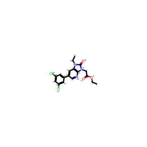 CCOC(=O)Cn1c(=O)n(CC)c2cc(-c3cc(Cl)cc(Cl)c3)cnc21